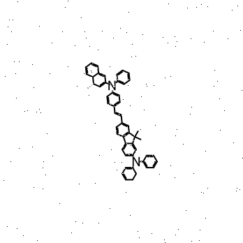 C[C@H]1C=C(N(c2ccccc2)c2ccc(/C=C/c3ccc4c(c3)C(C)(C)c3cc(N(C5=CC=CCC5)c5ccccc5)ccc3-4)cc2)C=C2C=CC=CC21